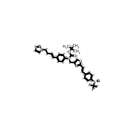 CC(C)(C)OC(=O)N(Cc1coc(/C=C/c2ccc([S+]([O-])C(F)(F)F)cc2)n1)c1ccc(/C=C/CCn2ccnn2)cc1